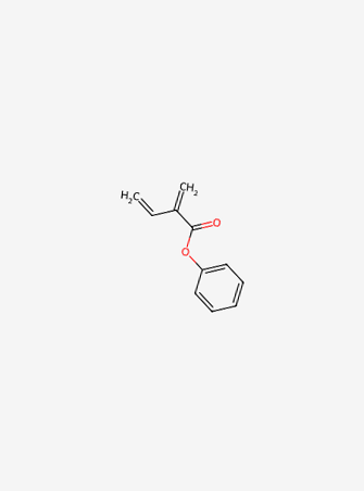 C=CC(=C)C(=O)Oc1ccccc1